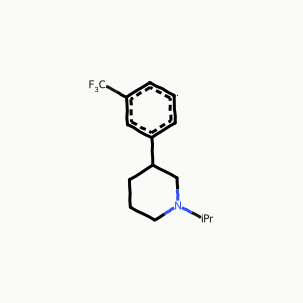 CC(C)N1CCCC(c2c[c]cc(C(F)(F)F)c2)C1